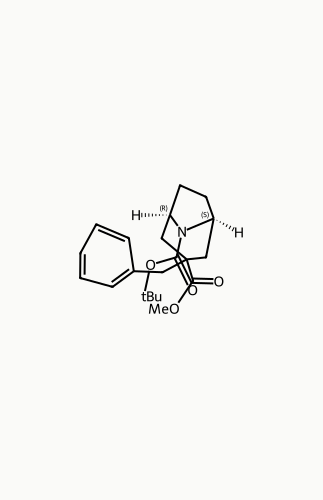 COC(=O)C1(Cc2ccccc2)C[C@H]2CC[C@@H](C1)N2C(=O)OC(C)(C)C